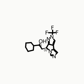 O[C@@H](C[C@H]1c2nn(C(F)(F)F)cc2-c2cncn21)C1CCCCC1